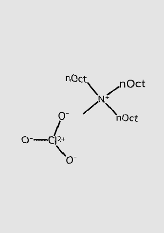 CCCCCCCC[N+](C)(CCCCCCCC)CCCCCCCC.[O-][Cl+2]([O-])[O-]